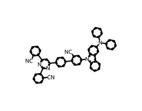 N#Cc1cc(-n2c3ccccc3c3cc(N(c4ccccc4)c4ccccc4)ccc32)ccc1-c1ccc(-c2cc(-c3ccccc3C#N)nc(-c3ccccc3C#N)n2)cc1